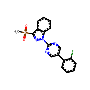 CS(=O)(=O)c1nn(-c2ncc(-c3ccccc3F)cn2)c2c[c]ccc12